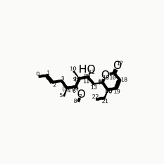 CC=CC[C@H](C)[C@@H](OC)[C@@H](C)[C@H](O)C[C@H]1OC(=O)C=C[C@H]1CC